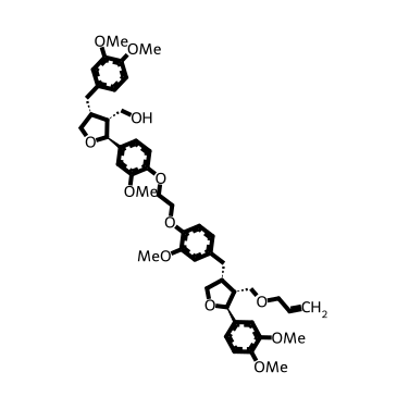 C=CCOC[C@H]1[C@@H](Cc2ccc(OCCOc3ccc([C@H]4OC[C@H](Cc5ccc(OC)c(OC)c5)[C@@H]4CO)cc3OC)c(OC)c2)CO[C@@H]1c1ccc(OC)c(OC)c1